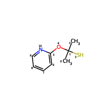 CC(C)(S)Oc1ccccn1